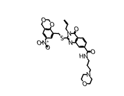 C=CCn1c(SCc2cc([N+](=O)[O-])cc3c2OCOC3)nc2cc(C(=O)NCCCN3CCOCC3)ccc2c1=O